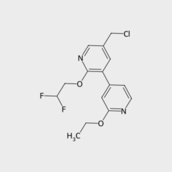 CCOc1cc(-c2cc(CCl)cnc2OCC(F)F)ccn1